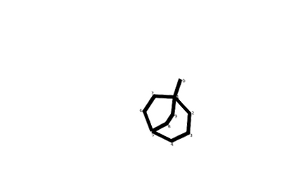 CC12CCCC(CC1)CC2